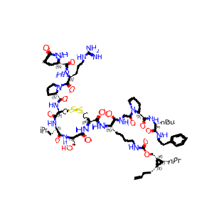 C=CCC[C@H]1[C@@H](CCC)[C@H]1COC(=O)NCCCC[C@H](NC(=O)[C@@H]1CSSC[C@H](NC(=O)[C@@H]2CCCN2C(=O)[C@H](CCCNC(=N)N)NC(=O)[C@@H]2CCC(=O)N2)C(=O)N[C@@H](CC(C)C)C(=O)N[C@@H](CO)C(=O)N1)C(=O)NCC(=O)N1CCC[C@H]1C(=O)N[C@H](CCCC)C(=O)NCCc1ccccc1